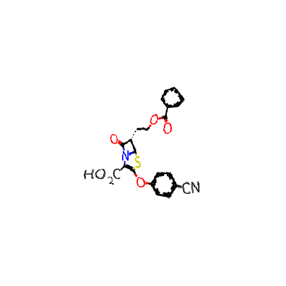 N#Cc1ccc(OC2=C(C(=O)O)N3C(=O)[C@H](CCOC(=O)c4ccccc4)C3S2)cc1